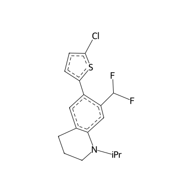 CC(C)N1CCCc2cc(-c3ccc(Cl)s3)c(C(F)F)cc21